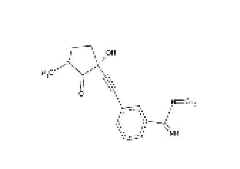 C=NC(=N)c1cccc(C#C[C@]2(O)CCN(C)C2=O)c1